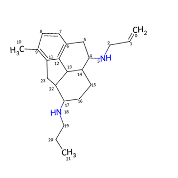 C=CCNC1Cc2ccc(C)c3c2C2C1CCC(NCCC)C2C3